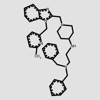 Cc1cccc(Cn2c(CN3CCC(NCCN(Cc4ccccc4)Cc4ccccc4)CC3)nc3ccccc32)n1